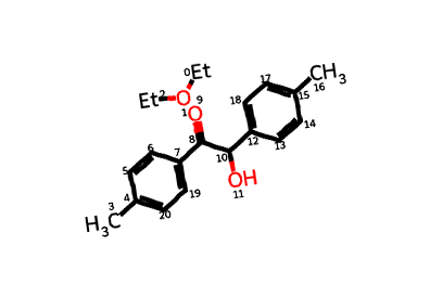 CCOCC.Cc1ccc(C(=O)C(O)c2ccc(C)cc2)cc1